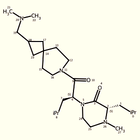 CC(C)C[C@H]1C(=O)N([C@@H](CC(C)C)C(=O)N2CCC3(CC2)CC(CN(C)C)C3)CCN1C